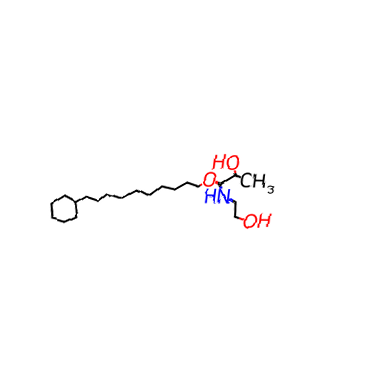 CC(O)C(NCCO)OCCCCCCCCCCC1CCCCC1